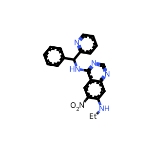 CCNc1cc2ncnc(NC(c3ccccc3)c3ccccn3)c2cc1[N+](=O)[O-]